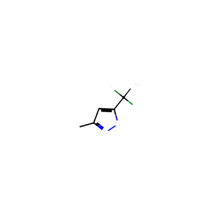 CC1=N[N]C(C(F)(F)C#N)=C1